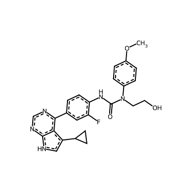 COc1ccc(N(CCO)C(=O)Nc2ccc(-c3ncnc4[nH]cc(C5CC5)c34)cc2F)cc1